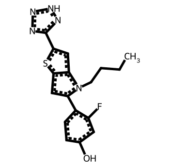 CCCCn1c(-c2ccc(O)cc2F)cc2sc(-c3nn[nH]n3)cc21